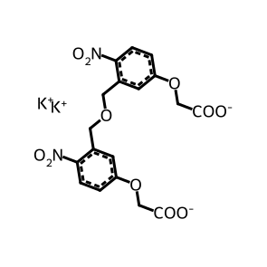 O=C([O-])COc1ccc([N+](=O)[O-])c(COCc2cc(OCC(=O)[O-])ccc2[N+](=O)[O-])c1.[K+].[K+]